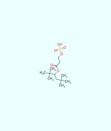 CC(C)(C)CC(OC(=O)CCOS(=O)(=O)O)C(C)(C)C